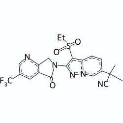 CCS(=O)(=O)c1c(N2Cc3ncc(C(F)(F)F)cc3C2=O)nn2cc(C(C)(C)C#N)ccc12